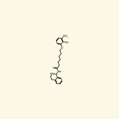 CC(=O)c1c(OCCCCCCC(=O)NC2NCCc3ccccc32)cccc1[N+](=O)[O-]